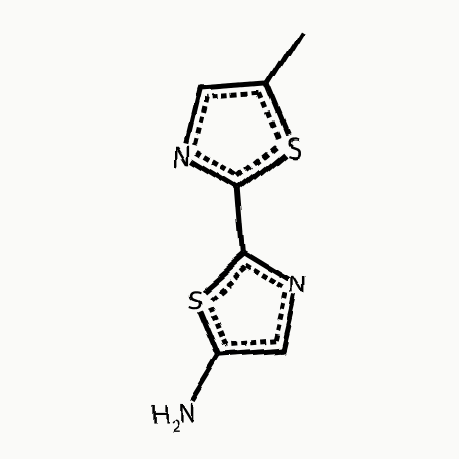 Cc1cnc(-c2ncc(N)s2)s1